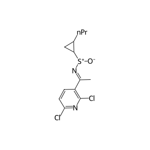 CCCC1CC1[S+]([O-])N=C(C)c1ccc(Cl)nc1Cl